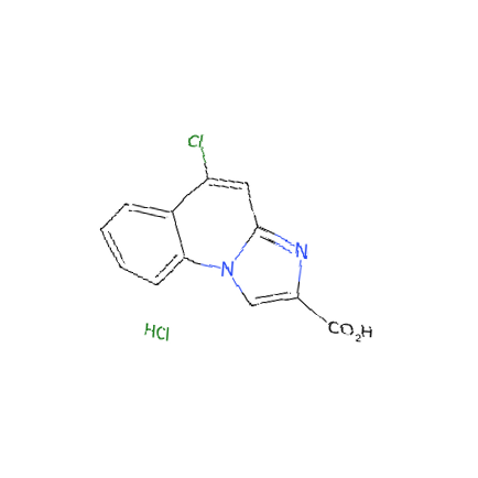 Cl.O=C(O)c1cn2c(cc(Cl)c3ccccc32)n1